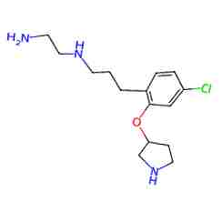 NCCNCCCc1ccc(Cl)cc1OC1CCNC1